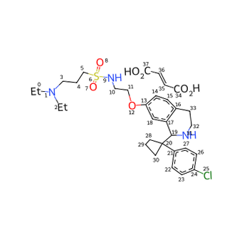 CCN(CC)CCCS(=O)(=O)NCCOc1ccc2c(c1)C(C1(c3ccc(Cl)cc3)CCC1)NCC2.O=C(O)C=CC(=O)O